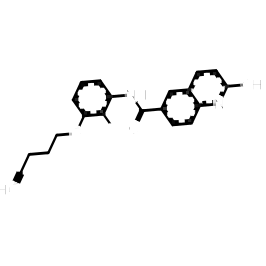 C#CCCCOc1cccc(NC(=O)c2ccc3nc(C)ccc3c2)c1F